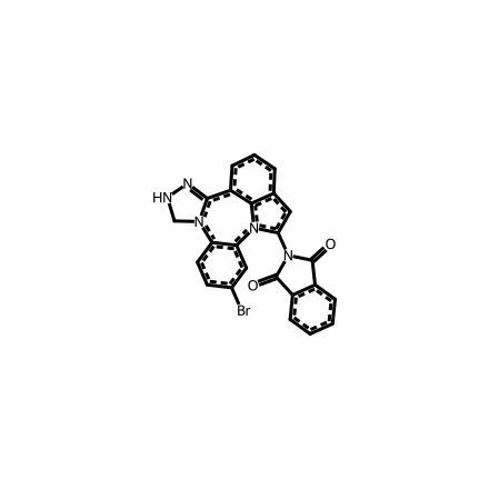 O=C1c2ccccc2C(=O)N1c1cc2cccc3c4n(c5ccc(Br)cc5n1c23)CNN=4